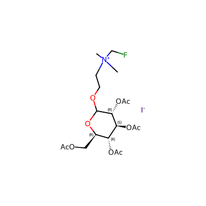 CC(=O)OC[C@H]1OC(OCC[N+](C)(C)CF)[C@H](OC(C)=O)[C@@H](OC(C)=O)[C@@H]1OC(C)=O.[I-]